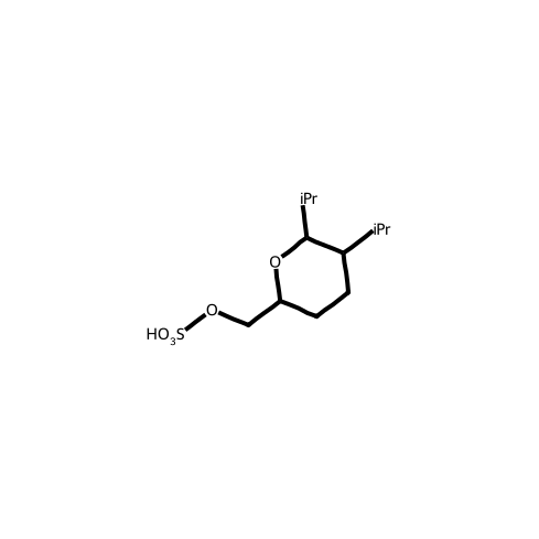 CC(C)C1CCC(COS(=O)(=O)O)OC1C(C)C